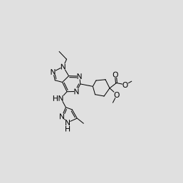 CCn1ncc2c(Nc3cc(C)[nH]n3)nc(C3CCC(OC)(C(=O)OC)CC3)nc21